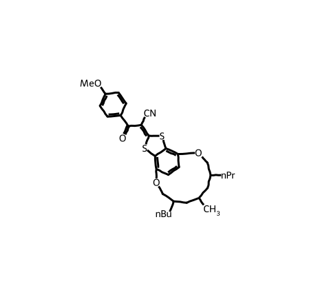 CCCCC1COc2ccc(c3c2S/C(=C(/C#N)C(=O)c2ccc(OC)cc2)S3)OCC(CCC)CC(C)C1